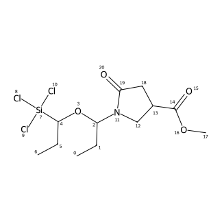 CCC(OC(CC)[Si](Cl)(Cl)Cl)N1CC(C(=O)OC)CC1=O